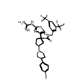 N=C(N)Nc1nc(C2(C(=O)NCc3cc(C(F)(F)F)cc(C(F)(F)F)c3)CCC(N3CCC(c4ccc(F)cc4)CC3)C2)cs1